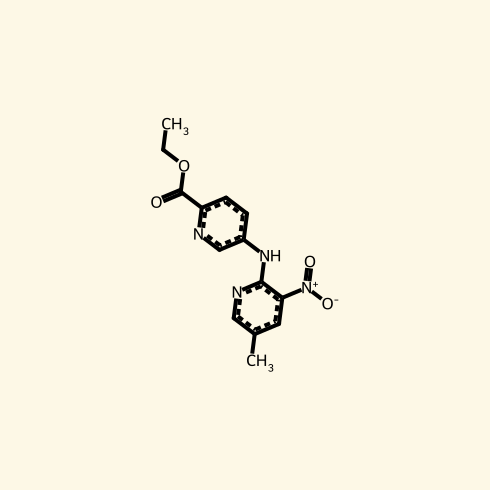 CCOC(=O)c1ccc(Nc2ncc(C)cc2[N+](=O)[O-])cn1